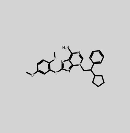 COc1ccc(OC)c(Sc2nc3c(N)ncn(CC(c4ccccc4)C4CCCC4)c-3n2)c1